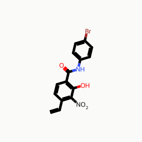 C=Cc1ccc(C(=O)Nc2ccc(Br)cc2)c(O)c1[N+](=O)[O-]